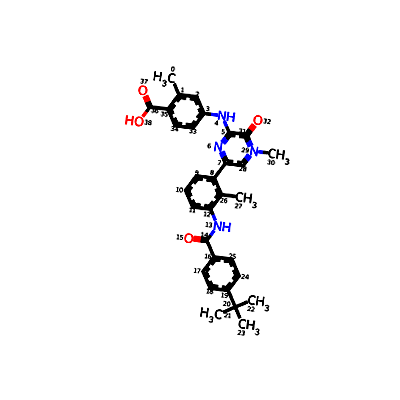 Cc1cc(Nc2nc(-c3cccc(NC(=O)c4ccc(C(C)(C)C)cc4)c3C)cn(C)c2=O)ccc1C(=O)O